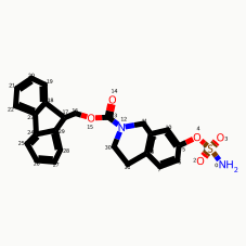 NS(=O)(=O)Oc1ccc2c(c1)CN(C(=O)OCC1c3ccccc3-c3ccccc31)CC2